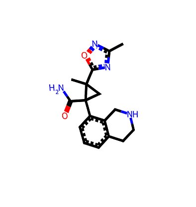 Cc1noc(C2(C)CC2(C(N)=O)c2cccc3c2CNCC3)n1